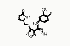 N#Cc1cc(N/C(=N/O)c2nonc2SC[C@H]2CCC(=O)N2)ccc1F